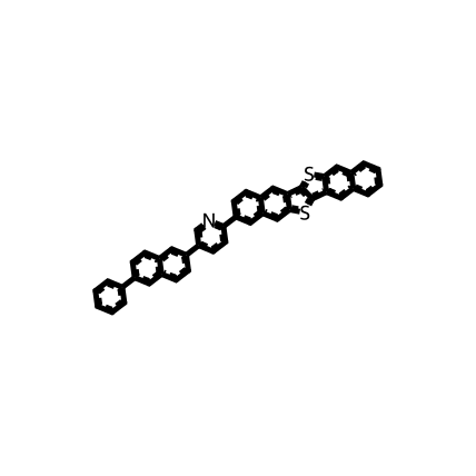 c1ccc(-c2ccc3cc(-c4ccc(-c5ccc6cc7c(cc6c5)sc5c6cc8ccccc8cc6sc75)nc4)ccc3c2)cc1